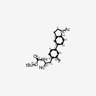 CC(=O)N1CCc2cc(-c3ccc(CC(C#N)NC(=O)OC(C)(C)C)c(F)c3)ccc21